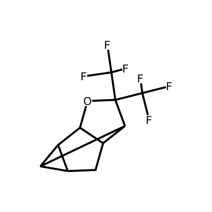 FC(F)(F)C1(C(F)(F)F)OC2C3CC4C2C4C31